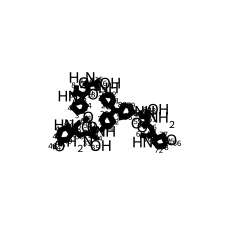 COc1ccc2[nH]c(C)c(CC(=O)[C@](N)(CO)C(=O)Nc3ccc(C(c4ccc(NC(=O)[C@@](N)(CO)C(=O)Cc5c(C)[nH]c6ccc(OC)cc56)cc4)c4ccc(NC(=O)[C@@](N)(CO)C(=O)Cc5c(C)[nH]c6ccc(OC)cc56)cc4)cc3)c2c1